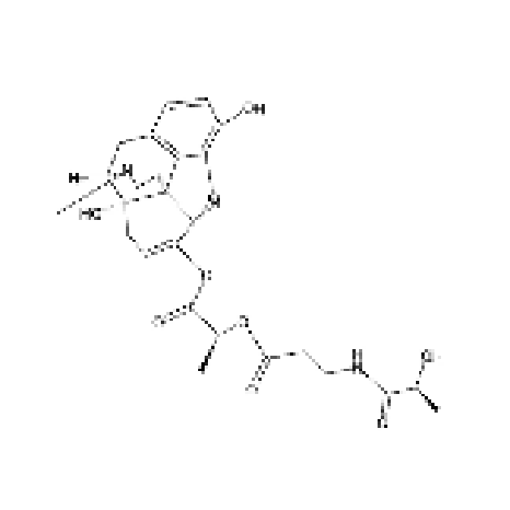 C[C@H](O)C(=O)NCCC(=O)O[C@@H](C)C(=O)OC1=CC[C@@]2(O)[C@H]3Cc4ccc(O)c5c4[C@@]2(CCN3C)[C@H]1O5